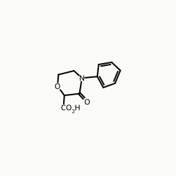 O=C(O)C1OCCN(c2ccccc2)C1=O